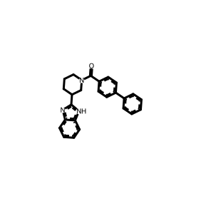 O=C(c1ccc(-c2ccccc2)cc1)N1CCCC(c2nc3ccccc3[nH]2)C1